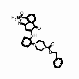 N[SH]1(=O)N=C2C=C(Nc3ccccc3N3CCB(C(=O)OCc4ccccc4)CC3)C(=O)c3cccc1c32